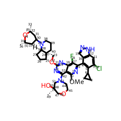 COc1nc(-c2c(C3CC3)c(Cl)cc3[nH]ncc23)c(F)c2nc(OC[C@]34CCC[C@H]3N(C3C[C@@H](C)O[C@@H](C)C3)CCC4)nc(N3CCOC[C@@](C)(O)C3)c12